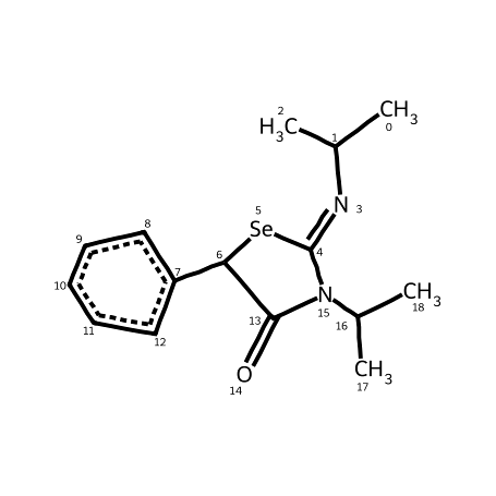 CC(C)/N=C1\[Se]C(c2ccccc2)C(=O)N1C(C)C